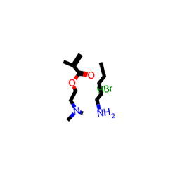 Br.C=C(C)C(=O)OCCN(C)C.CCCCCN